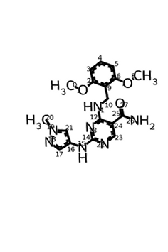 COc1cccc(OC)c1CNc1nc(Nc2cnn(C)c2)ncc1C(N)=O